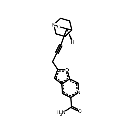 NC(=O)c1cc2cc(CC#C[C@@H]3CN4CCC3CC4)oc2cn1